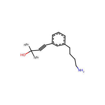 CCCC(O)(C#Cc1cccc(CCCCN)c1)CCC